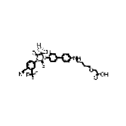 CC1(C)C(=O)N(c2ccc(C#N)c(C(F)(F)F)c2)C(=S)N1c1ccc(-c2ccc(NCCCCOCC(=O)O)cc2)cc1